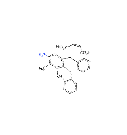 Cc1c(N)cc(Cc2ccccc2)c(Cc2ccccc2)c1C.O=C(O)/C=C\C(=O)O